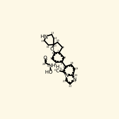 Cc1c(-c2ccc3c(c2)CCC2(CCNCC2)O3)ccc2nccn12.O=CNO